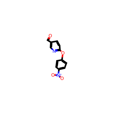 O=Cc1ccc(Oc2ccc([N+](=O)[O-])cc2)nc1